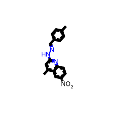 Cc1ccc(C=NNc2cc(C)c3cc([N+](=O)[O-])ccc3n2)cc1